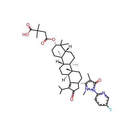 Cc1c([C@@]23CC[C@]4(C)[C@H](CC[C@@H]5[C@@]6(C)CC[C@H](OC(=O)CC(C)(C)C(=O)O)C(C)(C)[C@@H]6CC[C@]54C)C2=C(C(C)C)C(=O)C3)n(C)n(-c2ccc(F)cn2)c1=O